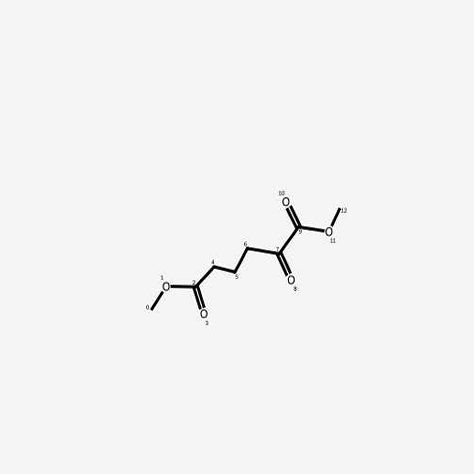 COC(=O)CCCC(=O)C(=O)OC